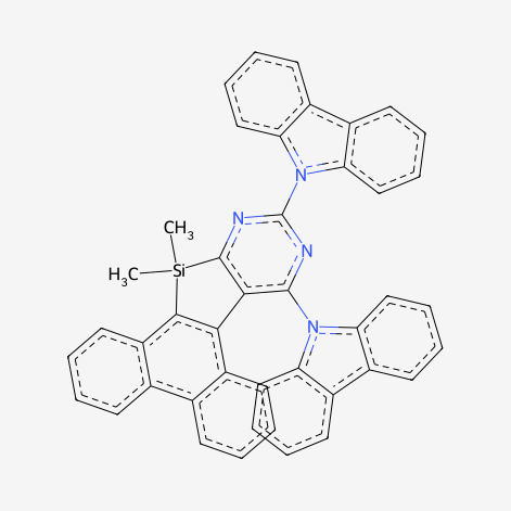 C[Si]1(C)c2nc(-n3c4ccccc4c4ccccc43)nc(-n3c4ccccc4c4ccccc43)c2-c2c1c1ccccc1c1ccccc21